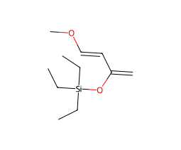 C=C(C=COC)O[Si](CC)(CC)CC